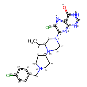 CC[C@H]1CN(c2nc3nc[nH]c(=O)c3nc2Cl)CCN1C1CCN(Cc2ccc(Cl)cc2)CC1